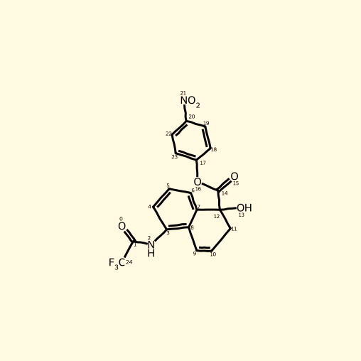 O=C(Nc1cccc2c1C=CCC2(O)C(=O)Oc1ccc([N+](=O)[O-])cc1)C(F)(F)F